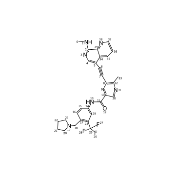 CNc1ncc(C#Cc2cc(C(=O)Nc3ccc(CN4CCCC4)c(C(F)(F)F)c3)cnc2C)c2cccnc12